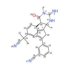 CN1C(=N)NC(C)(C2=CC=C(c3cccc(C#N)c3)C2)[C@@H](C2C=CC(C(C)(C)C#N)=CC2)C1=O